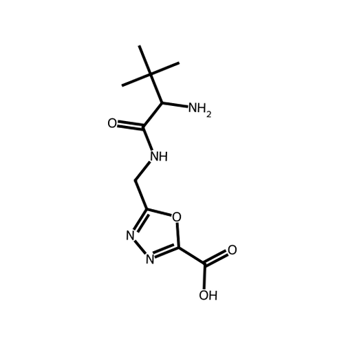 CC(C)(C)C(N)C(=O)NCc1nnc(C(=O)O)o1